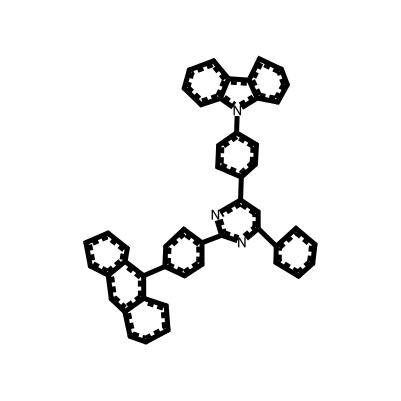 c1ccc(-c2cc(-c3ccc(-n4c5ccccc5c5ccccc54)cc3)nc(-c3ccc(-c4c5ccccc5cc5ccccc45)cc3)n2)cc1